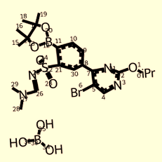 CC(C)Oc1ncc(Br)c(-c2ccc(B3OC(C)(C)C(C)(C)O3)c(S(=O)(=O)N=CN(C)C)c2)n1.OB(O)O